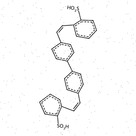 O=S(=O)(O)c1ccccc1/C=C\c1ccc(-c2ccc(/C=C\c3ccccc3S(=O)(=O)O)cc2)cc1